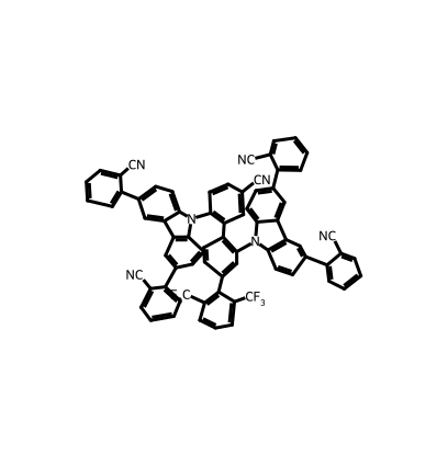 N#Cc1ccc(-n2c3ccc(-c4ccccc4C#N)cc3c3cc(-c4ccccc4C#N)ccc32)c(-c2ccc(-c3c(C(F)(F)F)cccc3C(F)(F)F)cc2-n2c3ccc(-c4ccccc4C#N)cc3c3cc(-c4ccccc4C#N)ccc32)c1